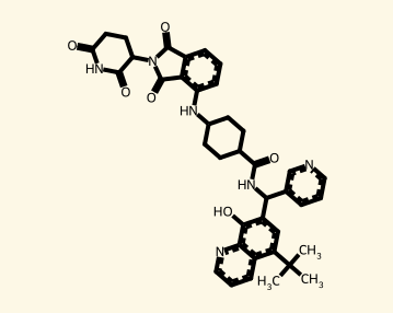 CC(C)(C)c1cc(C(NC(=O)C2CCC(Nc3cccc4c3C(=O)N(C3CCC(=O)NC3=O)C4=O)CC2)c2cccnc2)c(O)c2ncccc12